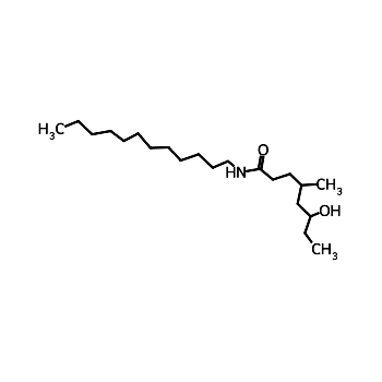 CCCCCCCCCCCCNC(=O)CCC(C)CC(O)CC